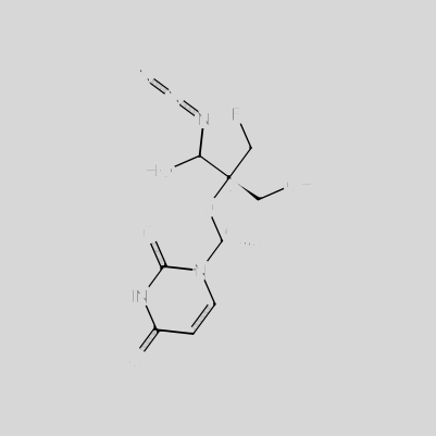 C[C@@H](O[C@@](CO)(CF)C(O)N=[N+]=[N-])n1ccc(=O)[nH]c1=O